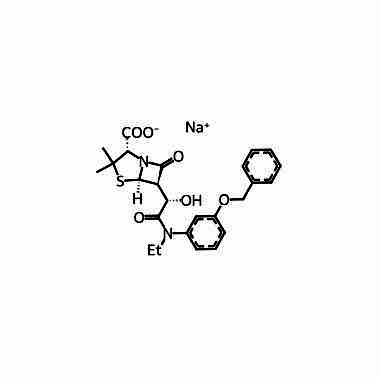 CCN(C(=O)[C@@H](O)[C@@H]1C(=O)N2[C@@H]1SC(C)(C)[C@@H]2C(=O)[O-])c1cccc(OCc2ccccc2)c1.[Na+]